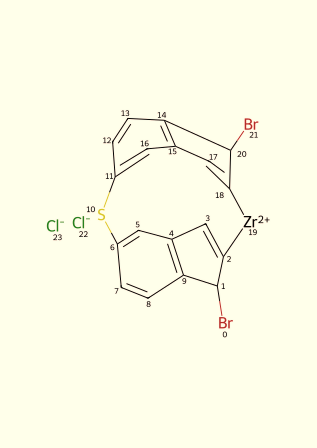 BrC1[C]2=Cc3cc(ccc31)Sc1ccc3c(c1)C=[C]([Zr+2]2)C3Br.[Cl-].[Cl-]